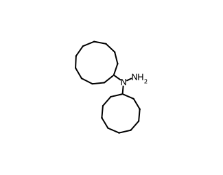 NN(C1CCCCCCCCCC1)C1CCCCCCCCC1